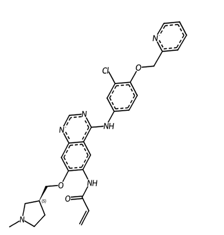 C=CC(=O)Nc1cc2c(Nc3ccc(OCc4ccccn4)c(Cl)c3)ncnc2cc1OC[C@H]1CCN(C)C1